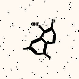 CCc1ccc2c(F)cc(C)cc2c1C=O